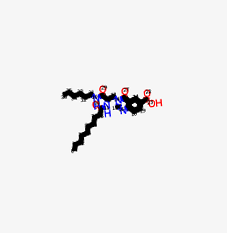 CCCCCCCCCC(=O)NC(Cn1cnc2ccc(C(=O)O)cc2c1=O)C(=O)NCCCCCC